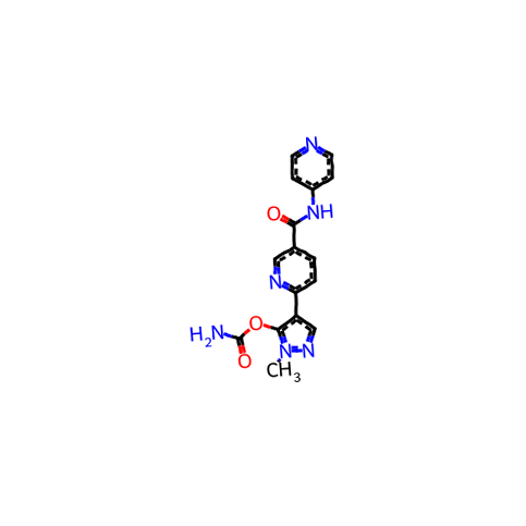 Cn1ncc(-c2ccc(C(=O)Nc3ccncc3)cn2)c1OC(N)=O